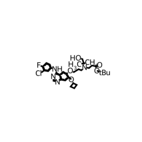 CC(C)(C)OC(=O)CCN(CCCOc1cc2c(Nc3ccc(F)c(Cl)c3)ncnc2cc1OC1CCC1)C(C)(C)CO